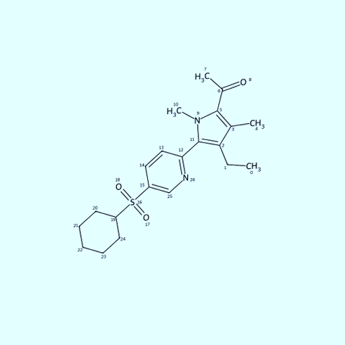 CCc1c(C)c(C(C)=O)n(C)c1-c1ccc(S(=O)(=O)C2CCCCC2)cn1